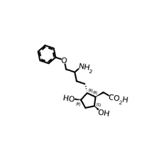 NC(CC[C@@H]1[C@@H](CC(=O)O)[C@@H](O)C[C@H]1O)COc1ccccc1